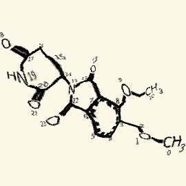 COCc1ccc2c(c1OC)C(=O)N(C1CCC(=O)NC1=O)C2=O